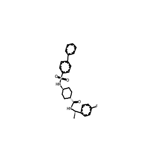 C[C@@H](NC(=O)[C@H]1CC[C@H](NS(=O)(=O)c2ccc(-c3ccccc3)cc2)CC1)c1ccc(F)cc1